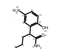 CCCC(C(N)=O)c1cc(N)ccc1O